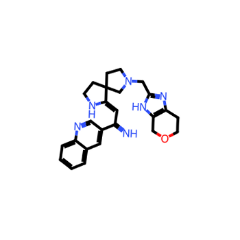 N=C(/C=C1\NCCC12CCN(Cc1nc3c([nH]1)COCC3)C2)c1cnc2ccccc2c1